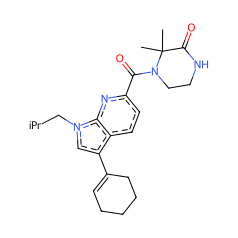 CC(C)Cn1cc(C2=CCCCC2)c2ccc(C(=O)N3CCNC(=O)C3(C)C)nc21